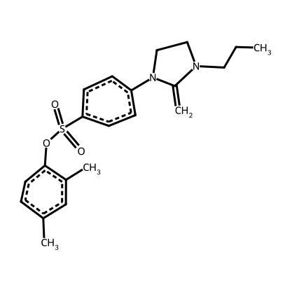 C=C1N(CCC)CCN1c1ccc(S(=O)(=O)Oc2ccc(C)cc2C)cc1